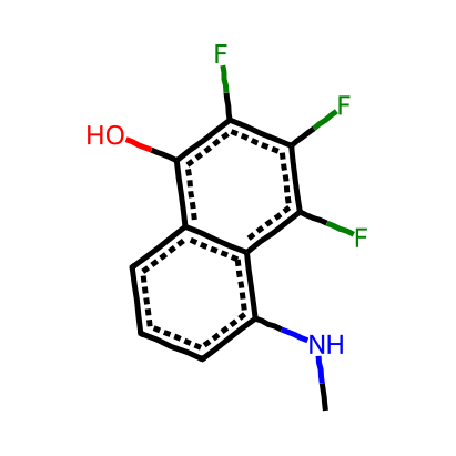 CNc1cccc2c(O)c(F)c(F)c(F)c12